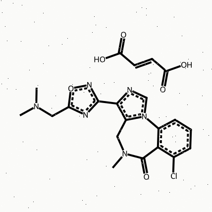 CN(C)Cc1nc(-c2ncn3c2CN(C)C(=O)c2c(Cl)cccc2-3)no1.O=C(O)C=CC(=O)O